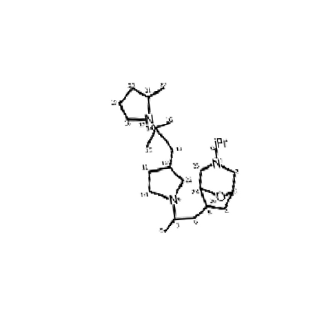 CC(C)N1CC2CC(CC(C)N3CCC(CC(C)(C)N4CCCC4C)C3)C(C1)O2